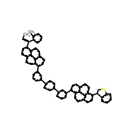 C/C=C(\c1ccccc1C)c1ccc2ccc3c(-c4cccc(-c5ccc(-c6cccc(-c7ccc8ccc9c(C%10CSc%11ccccc%11%10)ccc%10ccc7c8c%109)c6)cc5)c4)ccc4ccc1c2c43